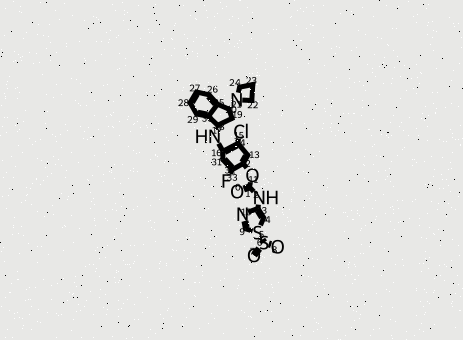 O=C(NC1=CS(=S(=O)=O)C=N1)Oc1cc(Cl)c(N[C@@H]2C[C@H](N3CCC3)c3ccccc32)cc1F